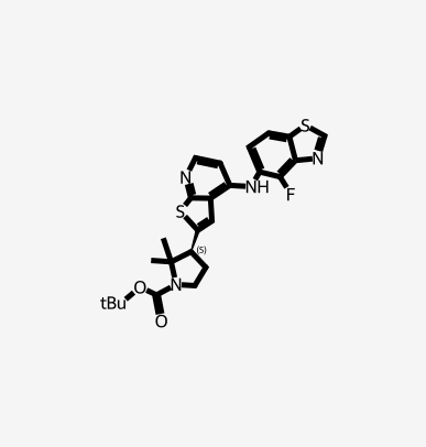 CC(C)(C)OC(=O)N1CC[C@H](c2cc3c(Nc4ccc5scnc5c4F)ccnc3s2)C1(C)C